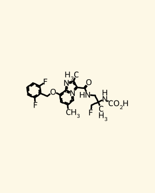 Cc1cc(OCc2c(F)cccc2F)c2nc(C)c(C(=O)NCC(C)(CF)NC(=O)O)n2c1